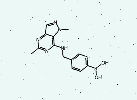 Cc1nc(NCc2ccc(B(O)O)cc2)c2c(cnn2C)n1